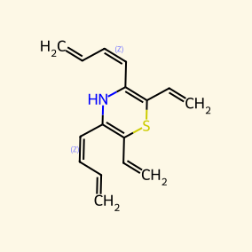 C=C/C=C\C1=C(C=C)SC(C=C)=C(/C=C\C=C)N1